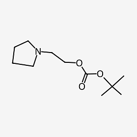 CC(C)(C)OC(=O)OCCN1CCCC1